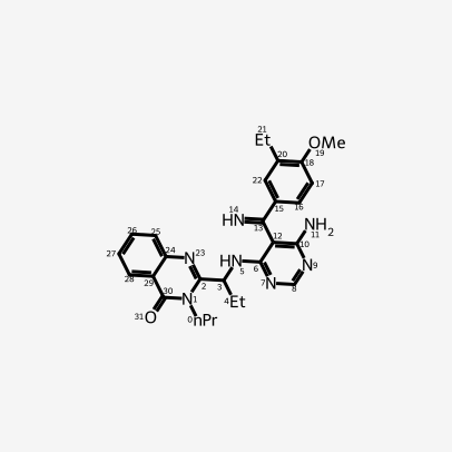 CCCn1c(C(CC)Nc2ncnc(N)c2C(=N)c2ccc(OC)c(CC)c2)nc2ccccc2c1=O